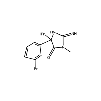 CC(C)C1(c2cccc(Br)c2)NC(=N)N(C)C1=O